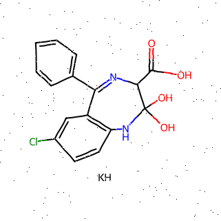 O=C(O)C1N=C(c2ccccc2)c2cc(Cl)ccc2NC1(O)O.[KH]